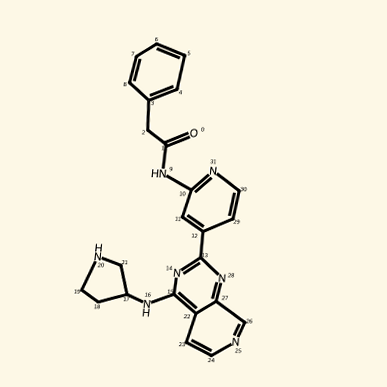 O=C(Cc1ccccc1)Nc1cc(-c2nc(NC3CCNC3)c3ccncc3n2)ccn1